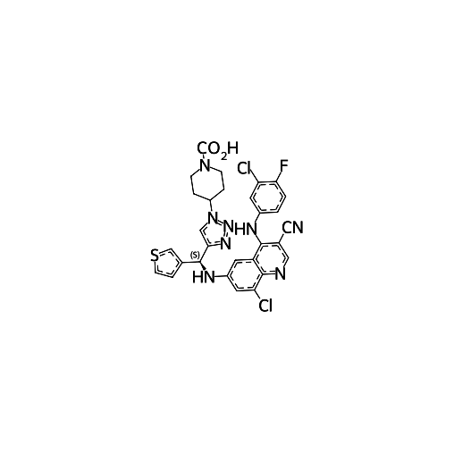 N#Cc1cnc2c(Cl)cc(N[C@@H](c3ccsc3)c3cn(C4CCN(C(=O)O)CC4)nn3)cc2c1Nc1ccc(F)c(Cl)c1